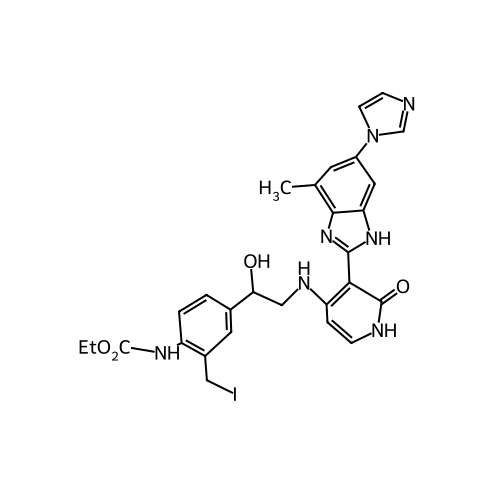 CCOC(=O)Nc1ccc(C(O)CNc2cc[nH]c(=O)c2-c2nc3c(C)cc(-n4ccnc4)cc3[nH]2)cc1CI